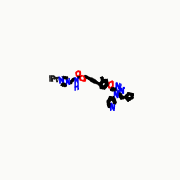 Cc1cc(OCc2nnc(CC3CCCC3)n2-c2cccnc2)ccc1C#CCOC(=O)NCCN1CCN(C(C)C)CC1